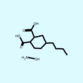 CCCCC1CCC(C(=O)O)C(C(=O)O)C1.[OH][AlH2]